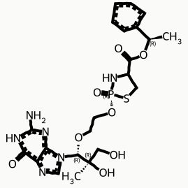 C[C@@H](OC(=O)C1CS[P@](=O)(OCCO[C@@H](n2cnc3c(=O)[nH]c(N)nc32)[C@](C)(O)CO)N1)c1ccccc1